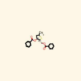 CC1C[C@H](OC(=O)c2ccccc2)[C@@H](COC(=O)c2ccccc2)S1